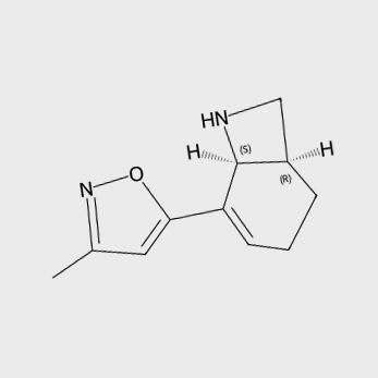 Cc1cc(C2=CCC[C@@H]3CN[C@H]23)on1